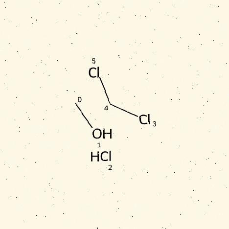 CO.Cl.ClCCl